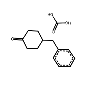 O=C(O)O.O=C1CCC(Cc2ccccc2)CC1